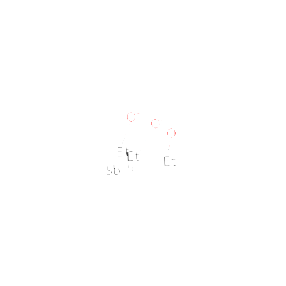 CC[O-].CC[O-].CC[O-].[Sb+3]